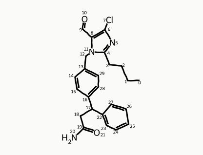 CCCCc1nc(Cl)c(C=O)n1Cc1ccc(C(CC(N)=O)c2ccccc2)cc1